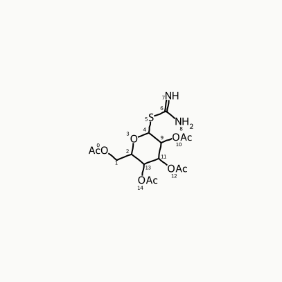 CC(=O)OCC1OC(SC(=N)N)C(OC(C)=O)C(OC(C)=O)C1OC(C)=O